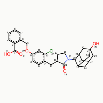 O=C(O)c1ccccc1COc1ccc(CC2CCN(C3C4CC5CC3CC(O)(C5)C4)C2=O)c(Cl)c1